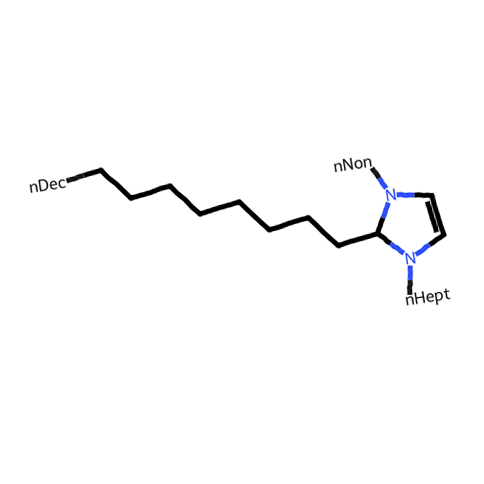 CCCCCCCCCCCCCCCCCCC1N(CCCCCCC)C=CN1CCCCCCCCC